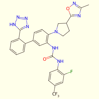 Cc1noc(C2CCN(c3ccc(-c4ccccc4-c4nnn[nH]4)cc3NC(=O)Nc3ccc(C(F)(F)F)cc3F)C2)n1